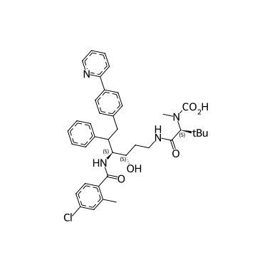 Cc1cc(Cl)ccc1C(=O)N[C@@H](C(Cc1ccc(-c2ccccn2)cc1)c1ccccc1)[C@@H](O)CCNC(=O)[C@@H](N(C)C(=O)O)C(C)(C)C